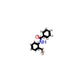 O=C(Nc1ccccc1C[S])c1ccccc1